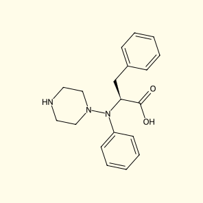 O=C(O)[C@H](Cc1ccccc1)N(c1ccccc1)N1CCNCC1